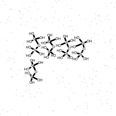 O[Si](O)(O)O[Si](O)(O)O.O[Si](O)(O)O[Si](O)(O)O.O[Si](O)(O)O[Si](O)(O)O.O[Si](O)(O)O[Si](O)(O)O.O[Si](O)(O)O[Si](O)(O)O